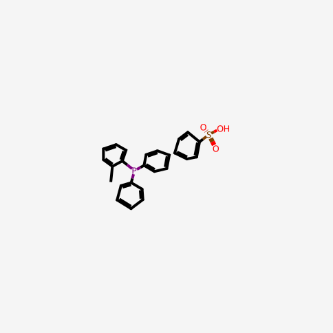 Cc1ccccc1P(c1ccccc1)c1ccccc1.O=S(=O)(O)c1ccccc1